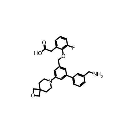 NCc1cccc(-c2cc(COc3c(F)cccc3CC(=O)O)cc(N3CCC4(CC3)COC4)c2)c1